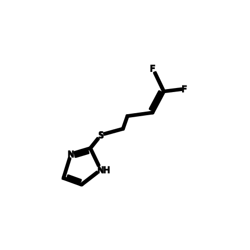 FC(F)=CCCSc1ncc[nH]1